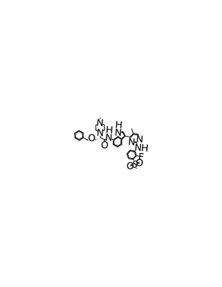 Cc1cnc(Nc2cccc(S(C)(=O)=O)c2F)nc1-c1c[nH]c2c(NC(=O)[C@H](COCc3ccccc3)N3CCN(C)CC3)cccc12